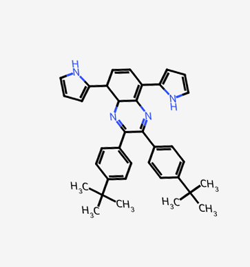 CC(C)(C)c1ccc(C2=NC3=C(c4ccc[nH]4)C=CC(c4ccc[nH]4)C3N=C2c2ccc(C(C)(C)C)cc2)cc1